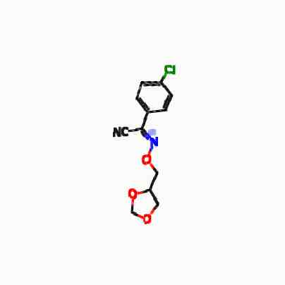 N#C/C(=N\OCC1COCO1)c1ccc(Cl)cc1